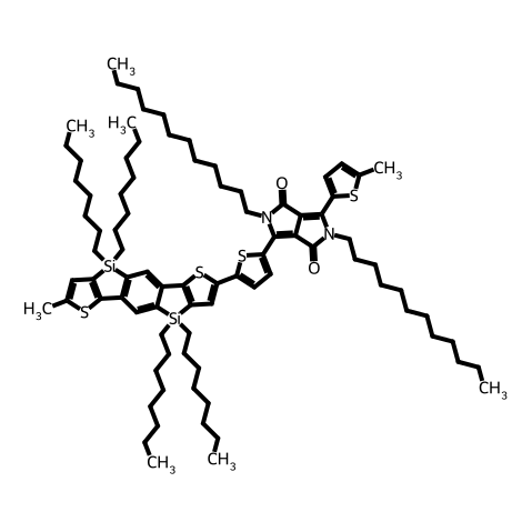 CCCCCCCCCCCCN1C(=O)C2=C(c3ccc(-c4cc5c(s4)-c4cc6c(cc4[Si]5(CCCCCCCC)CCCCCCCC)-c4sc(C)cc4[Si]6(CCCCCCCC)CCCCCCCC)s3)N(CCCCCCCCCCCC)C(=O)C2=C1c1ccc(C)s1